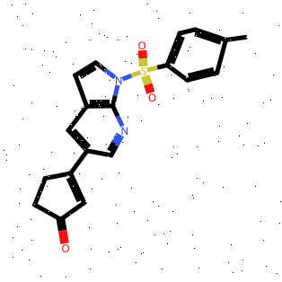 Cc1ccc(S(=O)(=O)n2ccc3cc(C4=CC(=O)CC4)cnc32)cc1